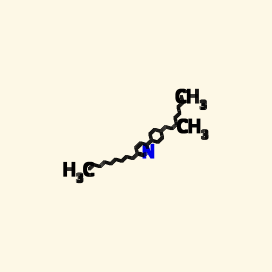 CCCCCCCCCc1ccc(C2CCC(CCC(C)CCCCC)CC2)nc1